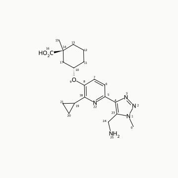 Cn1nnc(-c2ccc(O[C@H]3CCC[C@](C)(C(=O)O)C3)c(C3CC3)n2)c1CN